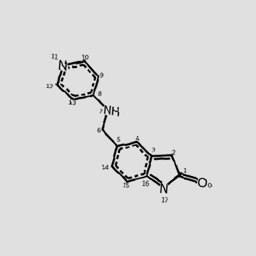 O=C1C=c2cc(CNc3ccncc3)ccc2=N1